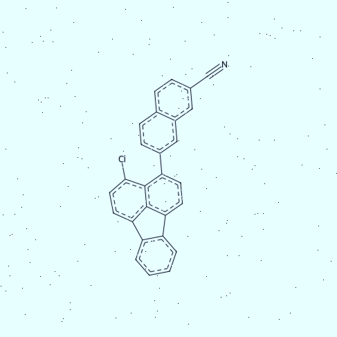 N#Cc1ccc2ccc(-c3ccc4c5c(ccc(Cl)c35)-c3ccccc3-4)cc2c1